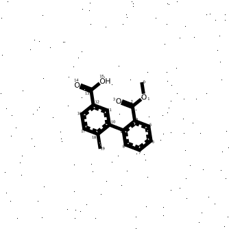 COC(=O)c1ccccc1-c1cc(C(=O)O)ccc1C